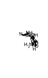 N#CCCOP(N)OC[C@H]1O[C@@H](n2cnc3c(=O)[nH]c(N)nc32)C[C@@H]1O